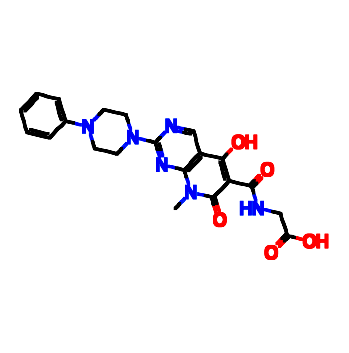 Cn1c(=O)c(C(=O)NCC(=O)O)c(O)c2cnc(N3CCN(c4ccccc4)CC3)nc21